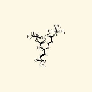 CC(C)(C)OC(=O)CCC[C@@H](/C=C/S(C)(=O)=O)NC(=O)OC(C)(C)C